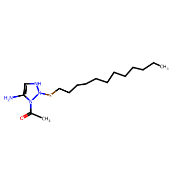 CCCCCCCCCCCCSN1NC=C(N)N1C(C)=O